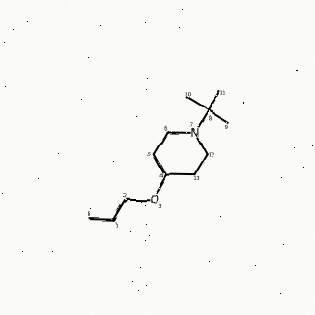 CCCOC1CCN(C(C)(C)C)CC1